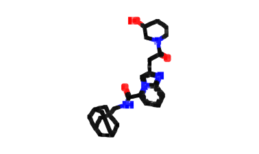 O=C(NCC12CC3CC(CC(C3)C1)C2)c1cccc2nc(CC(=O)N3CCCC(O)C3)cn12